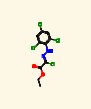 CCOC(=O)C(Cl)=NNc1c(Cl)cc(Cl)cc1Cl